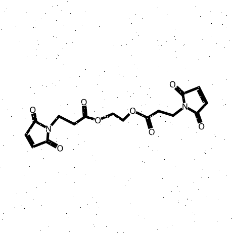 O=C(CCN1C(=O)C=CC1=O)OCCOC(=O)CCN1C(=O)C=CC1=O